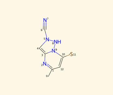 CC1=NC2=CN(C#N)NN2C([S])=C1